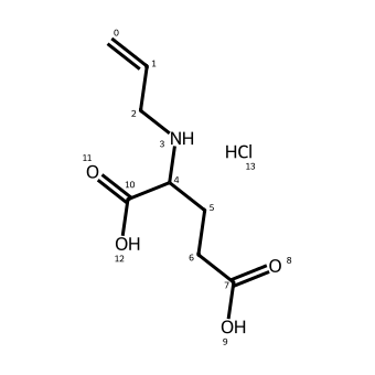 C=CCNC(CCC(=O)O)C(=O)O.Cl